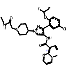 C=C/C(C(=O)Nc1cn(C2CCN(CC(=O)NC)CC2)nc1-c1cc(Cl)ccc1OC(F)F)=C1/N=CC=CN1C